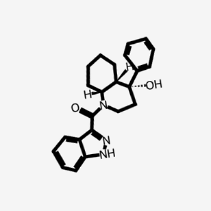 O=C(c1n[nH]c2ccccc12)N1CC[C@](O)(c2ccccc2)[C@H]2CCCC[C@H]21